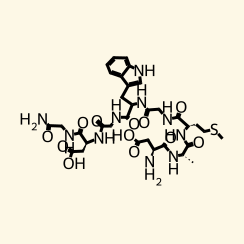 CSCC[C@H](NC(=O)[C@H](C)NC(=O)[C@@H](N)CC(=O)O)C(=O)NCC(=O)NC(Cc1c[nH]c2ccccc12)C(=O)NCC(=O)N[C@@H](CC(=O)O)C(=O)NCC(N)=O